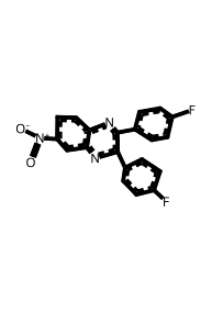 O=[N+]([O-])c1ccc2nc(-c3ccc(F)cc3)c(-c3ccc(F)cc3)nc2c1